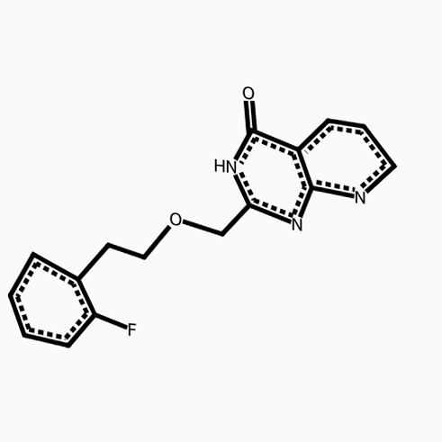 O=c1[nH]c(COCCc2ccccc2F)nc2ncccc12